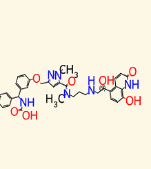 CN(CCCNC[C@@H](O)c1ccc(O)c2[nH]c(=O)ccc12)C(=O)c1cc(COc2cccc(C(NC(=O)O)c3ccccc3)c2)nn1C